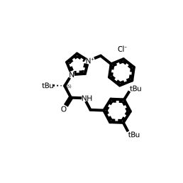 CC(C)(C)c1cc(CNC(=O)[C@@H](n2cc[n+](Cc3ccccc3)c2)C(C)(C)C)cc(C(C)(C)C)c1.[Cl-]